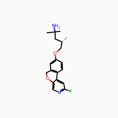 C[C@H](COc1ccc2c(c1)COc1cnc(F)cc1-2)CC(C)(C)N